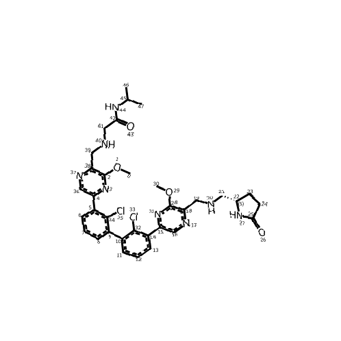 COc1nc(-c2cccc(-c3cccc(-c4cnc(CNC[C@@H]5CCC(=O)N5)c(OC)n4)c3Cl)c2Cl)cnc1CNCC(=O)NC(C)C